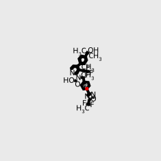 CC(C)(O)c1ccc(-c2ccnc(N(CC34CCC(c5noc(C(C)(F)F)n5)(CC3)CC4)C(=O)O)c2C(C)(C)C(F)(F)F)cc1